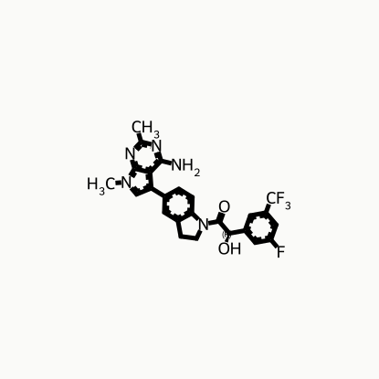 Cc1nc(N)c2c(-c3ccc4c(c3)CCN4C(=O)[C@H](O)c3cc(F)cc(C(F)(F)F)c3)cn(C)c2n1